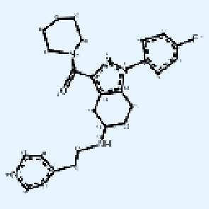 O=C(c1nn(-c2ccc(F)cc2)c2c1CC(NCCc1ccncc1)CC2)N1CCCCC1